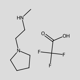 CNCCN1CCCC1.O=C(O)C(F)(F)F